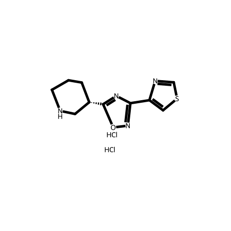 Cl.Cl.c1nc(-c2noc([C@H]3CCCNC3)n2)cs1